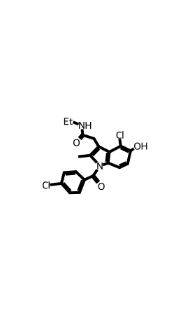 CCNC(=O)Cc1c(C)n(C(=O)c2ccc(Cl)cc2)c2ccc(O)c(Cl)c12